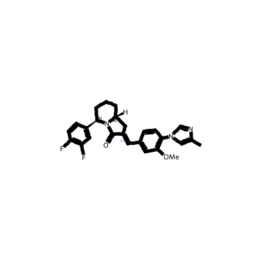 COc1cc(/C=C2\C[C@H]3CCC[C@H](c4ccc(F)c(F)c4)N3C2=O)ccc1-n1cnc(C)c1